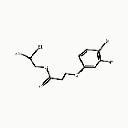 CCCCC(CC)COC(=O)CCSc1ccc(Br)c(F)c1